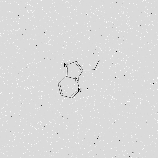 CCc1cnc2cccnn12